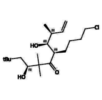 C=C[C@H](C)[C@H](O)[C@@H](CCCCCl)C(=O)C(C)(C)[C@@H](O)CC(C)(C)C